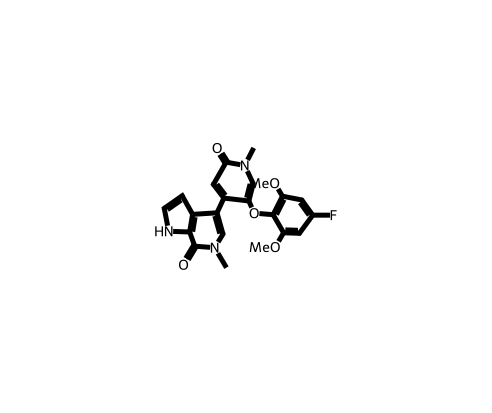 COc1cc(F)cc(OC)c1Oc1cn(C)c(=O)cc1-c1cn(C)c(=O)c2[nH]ccc12